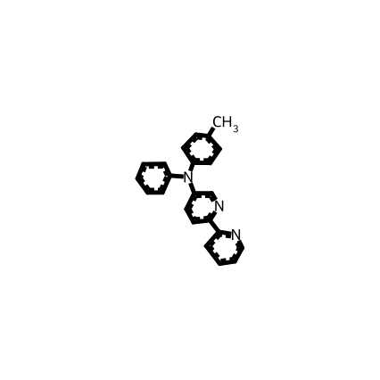 Cc1ccc(N(c2ccccc2)c2ccc(-c3ccccn3)nc2)cc1